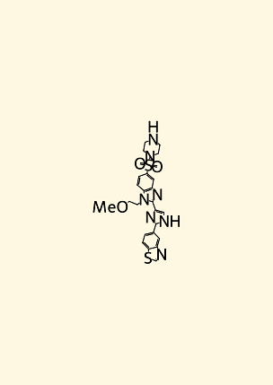 COCCn1c(-c2c[nH]c(-c3ccc4scnc4c3)n2)nc2cc(S(=O)(=O)N3CCNCC3)ccc21